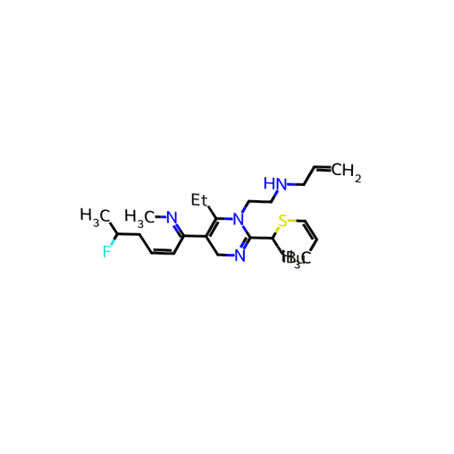 C=CCNCCN1C(C(S/C=C\C)C(C)CC)=NCC(C(/C=C\CC(C)F)=N/C)=C1CC